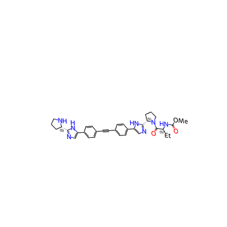 CC[C@H](NC(=O)OC)C(=O)N1CCC[C@H]1c1ncc(-c2ccc(C#Cc3ccc(-c4cnc([C@@H]5CCCN5)[nH]4)cc3)cc2)[nH]1